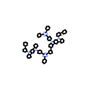 c1ccc(-c2cccc(-n3c4ccccc4c4cc5c(cc43)c3ccccc3n5-c3ccc(-c4nc(-c5ccccc5)nc(-c5cccc(-c6ccc7c(c6)c6cc8c9ccccc9n(-c9cccc%10c9sc9ccccc9%10)c8cc6n7-c6ccc(-c7nc(-c8ccccc8)nc(-c8ccccc8)n7)cc6)c5)n4)cc3)c2)cc1